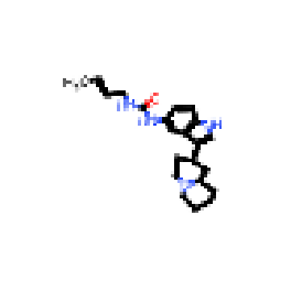 C/C=C/CNC(=O)Nc1ccc2[nH]cc(C3CCN4CCCCC4C3)c2c1